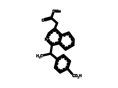 COC(=O)Cc1cnc(C(C)c2ccc(C(=O)O)cc2)c2ccccc12